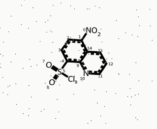 O=[N+]([O-])c1ccc(S(=O)(=O)Cl)c2ncccc12